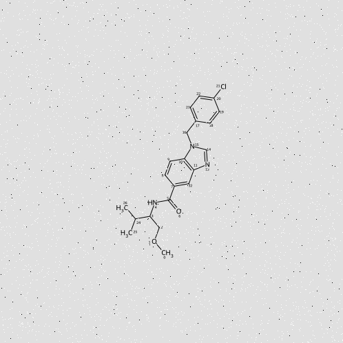 COCC(NC(=O)c1ccc2c(c1)ncn2Cc1ccc(Cl)cc1)C(C)C